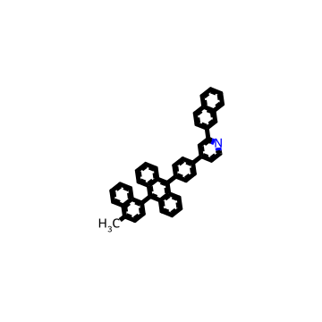 Cc1ccc(-c2c3ccccc3c(-c3ccc(-c4ccnc(-c5ccc6ccccc6c5)c4)cc3)c3ccccc23)c2ccccc12